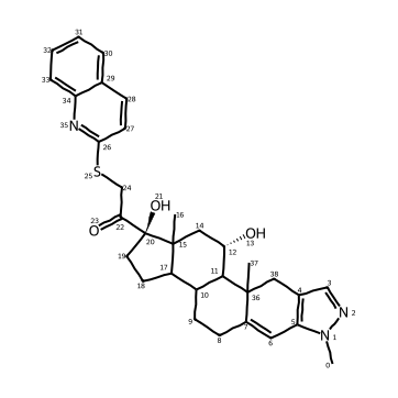 Cn1ncc2c1C=C1CCC3C([C@@H](O)CC4(C)C3CC[C@]4(O)C(=O)CSc3ccc4ccccc4n3)C1(C)C2